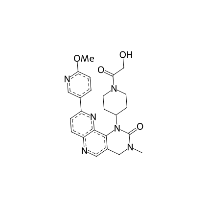 COc1ccc(-c2ccc3ncc4c(c3n2)N(C2CCN(C(=O)CO)CC2)C(=O)N(C)C4)cn1